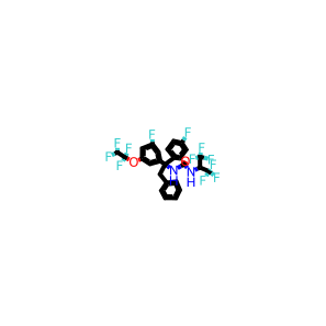 O=C(NC(C(F)(F)F)C(F)(F)F)NC(Cc1ccccc1)(c1ccc(F)cc1)c1cc(F)cc(OC(F)(F)C(F)F)c1